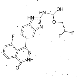 O=c1[nH]nc(-c2ccc3[nH]c(NC(O)OCC(F)F)nc3c2)c2c(F)cccc12